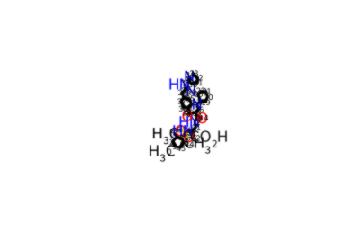 Cc1cc(C)c(S(=O)(=O)NC(CNC(=O)c2cn(C3CCCCC3)c3cc(Cc4nc5cccnc5[nH]4)ccc3c2=O)C(=O)O)c(C)c1